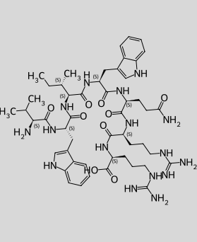 CC[C@H](C)[C@H](NC(=O)[C@H](Cc1c[nH]c2ccccc12)NC(=O)[C@@H](N)C(C)C)C(=O)N[C@@H](Cc1c[nH]c2ccccc12)C(=O)N[C@@H](CCC(N)=O)C(=O)N[C@@H](CCCNC(=N)N)C(=O)N[C@@H](CCCNC(=N)N)C(=O)O